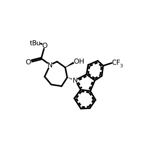 CC(C)(C)OC(=O)N1CCC[C@@H](n2c3ccccc3c3cc(C(F)(F)F)ccc32)[C@H](O)C1